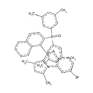 Cc1cc(C)cc(P(=O)(c2cc(C)cc(C)c2)c2ccc3ccccc3c2-c2nc3ccc(Br)cc3n3c(C)cc(C)c23)c1